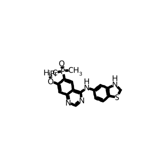 CC(C)Oc1cc2ncnc(Nc3ccc4c(c3)NCS4)c2cc1P(C)(C)=O